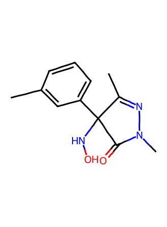 CC1=NN(C)C(=O)C1(NO)c1cccc(C)c1